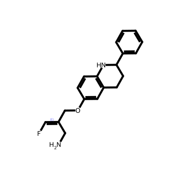 NC/C(=C\F)COc1ccc2c(c1)CCC(c1ccccc1)N2